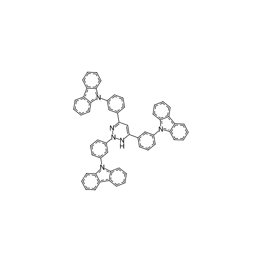 C1=C(c2cccc(-n3c4ccccc4c4ccccc43)c2)NN(c2cccc(-n3c4ccccc4c4ccccc43)c2)N=C1c1cccc(-n2c3ccccc3c3ccccc32)c1